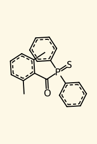 Cc1cccc(C)c1C(=O)P(=S)(c1ccccc1)c1ccccc1